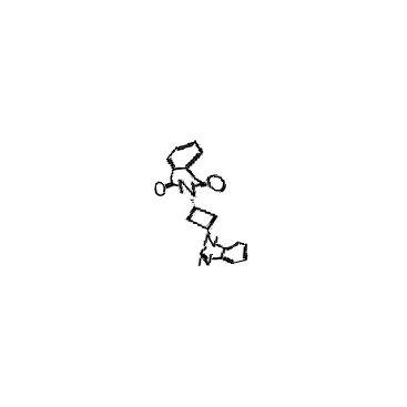 O=C1c2ccccc2C(=O)N1[C@H]1C[C@H](n2cnc3ccccc32)C1